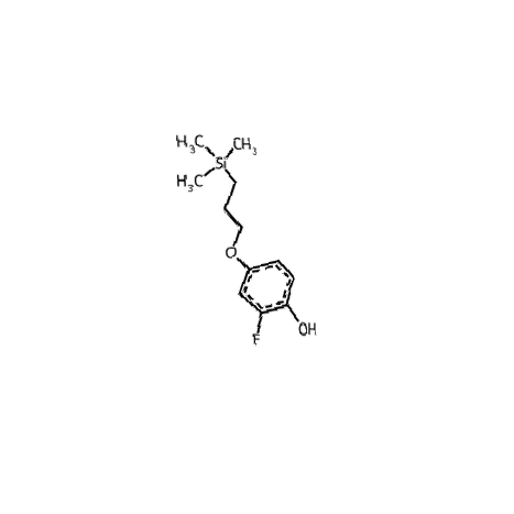 C[Si](C)(C)CCCOc1ccc(O)c(F)c1